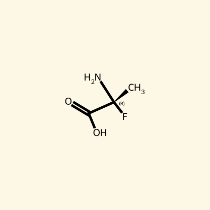 C[C@@](N)(F)C(=O)O